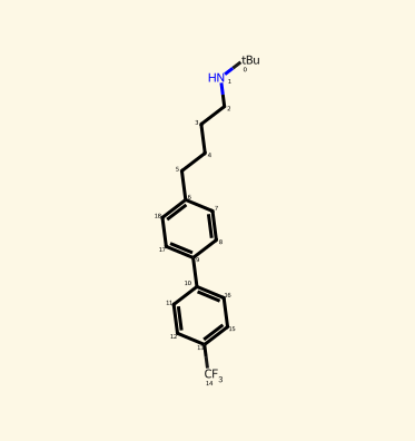 CC(C)(C)NCCCCc1ccc(-c2ccc(C(F)(F)F)cc2)cc1